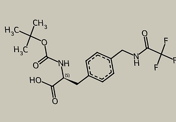 CC(C)(C)OC(=O)N[C@@H](Cc1ccc(CNC(=O)C(F)(F)F)cc1)C(=O)O